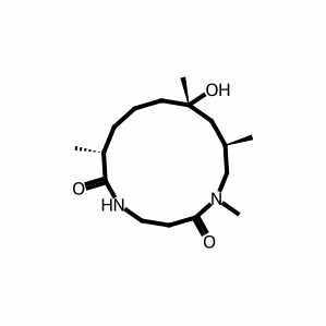 C[C@H]1CN(C)C(=O)CCNC(=O)[C@H](C)CCC[C@](C)(O)C1